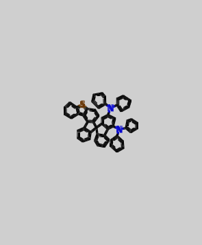 c1ccc(N(c2ccccc2)c2cc(N(c3ccccc3)c3ccccc3)c3c(c2)C2(c4ccccc4-3)c3ccccc3-c3c2ccc2sc4ccccc4c32)cc1